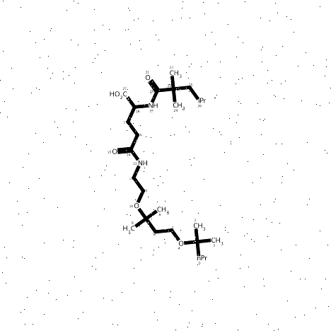 CCCC(C)(C)OCCC(C)(C)OCCNC(=O)CCC(NC(=O)C(C)(C)CC(C)C)C(=O)O